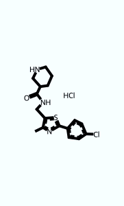 Cc1nc(-c2ccc(Cl)cc2)sc1CNC(=O)C1CCCNC1.Cl